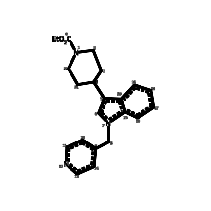 CCOC(=O)N1CCC(c2cn(Cc3ccncc3)c3ccccc23)CC1